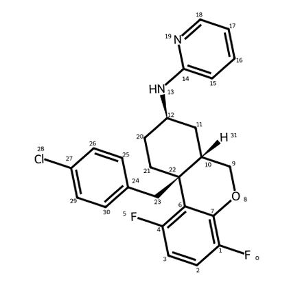 Fc1ccc(F)c2c1OC[C@H]1C[C@H](Nc3ccccn3)CC[C@@]21Cc1ccc(Cl)cc1